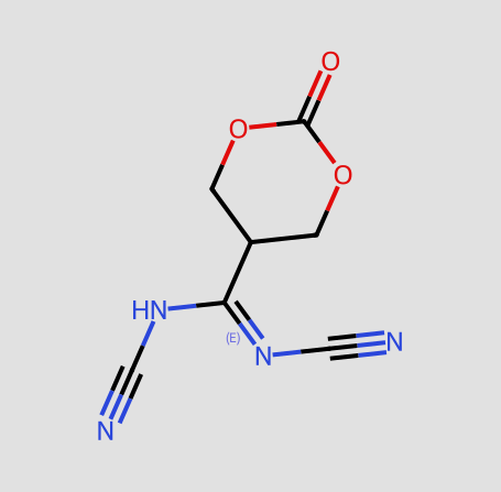 N#C/N=C(/NC#N)C1COC(=O)OC1